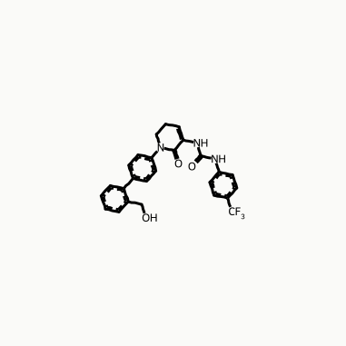 O=C(NC1=CCCN(c2ccc(-c3ccccc3CO)cc2)C1=O)Nc1ccc(C(F)(F)F)cc1